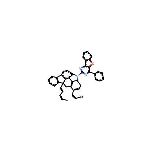 C/C=C\C=C\C12CC3=C4c5c(ccc(c51)-c1ccccc12)N(c1nc(-c2ccccc2)c2oc5ccccc5c2n1)C4CC=C3/C=C\CC